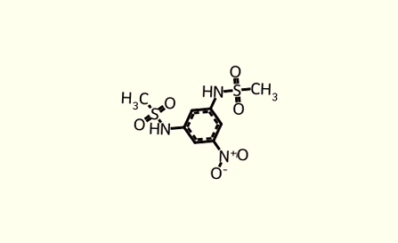 CS(=O)(=O)Nc1cc(NS(C)(=O)=O)cc([N+](=O)[O-])c1